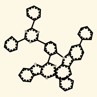 c1ccc(-c2ccc3c4ccccc4n(-c4ccc(-c5nc(-c6ccccc6)nc(-c6ccccc6)n5)cc4-c4nc(-c5ccccc5)nc5c4oc4ccccc45)c3c2)cc1